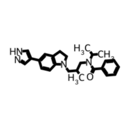 CC(CN1CCc2cc(-c3cn[nH]c3)ccc21)CN(C(=O)c1ccccc1)C(C)C